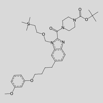 COc1cccc(OCCCCc2ccc3nc(C(=O)N4CCN(C(=O)OC(C)(C)C)CC4)n(COCC[Si](C)(C)C)c3c2)c1